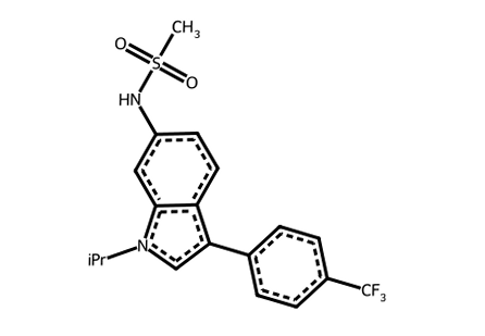 CC(C)n1cc(-c2ccc(C(F)(F)F)cc2)c2ccc(NS(C)(=O)=O)cc21